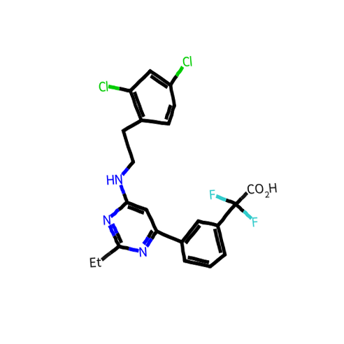 CCc1nc(NCCc2ccc(Cl)cc2Cl)cc(-c2cccc(C(F)(F)C(=O)O)c2)n1